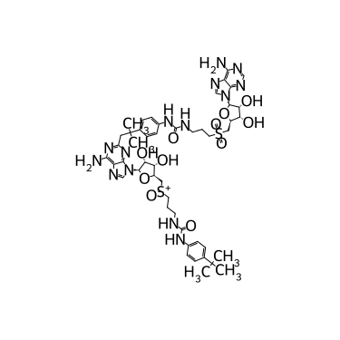 CC(C)(C)c1ccc(NC(=O)NCCC[S+]([O-])C[C@H]2O[C@@H](n3cnc4c(N)nc(CC(C)(C)c5ccc(NC(=O)NCCCS(=O)(=O)C[C@H]6O[C@@H](n7cnc8c(N)ncnc87)[C@H](O)[C@@H]6O)cc5)nc43)[C@H](O)[C@@H]2O)cc1